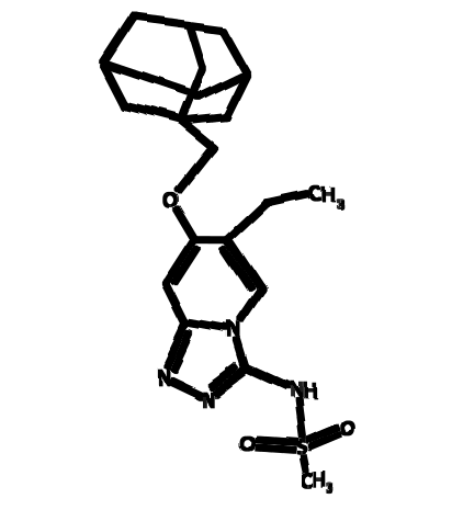 CCc1cn2c(NS(C)(=O)=O)nnc2cc1OCC12CC3CC(CC(C3)C1)C2